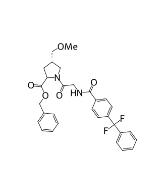 COC[C@H]1CC(C(=O)OCc2ccccc2)N(C(=O)CNC(=O)c2ccc(C(F)(F)c3ccccc3)cc2)C1